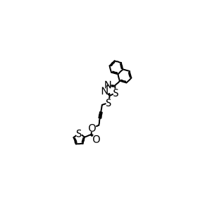 O=C(OCC#CCSc1nnc(-c2cccc3ccccc23)s1)c1cccs1